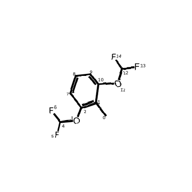 Cc1c(OC(F)F)cccc1OC(F)F